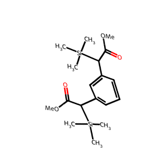 COC(=O)C(c1cccc(C(C(=O)OC)[Si](C)(C)C)c1)[Si](C)(C)C